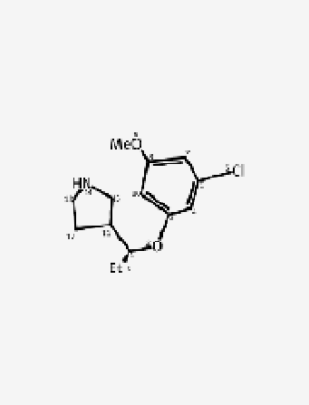 CC[C@H](Oc1cc(Cl)cc(OC)c1)[C@H]1CCNC1